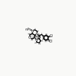 CCCN1CCN(C(=O)Cc2ccc(Cl)c(Cl)c2)[C@H]2C1COC[C@@H]2N1CCCC1